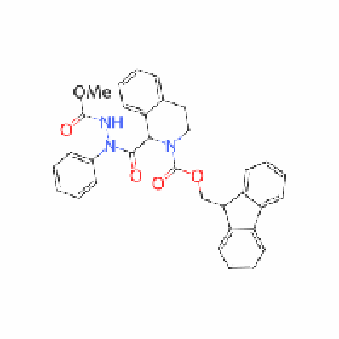 COC(=O)NN(C(=O)C1c2ccccc2CCN1C(=O)OCC1c2ccccc2-c2ccccc21)c1ccccc1